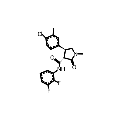 Cc1cc([C@H]2CN(C)C(=O)[C@@H]2C(=O)Nc2cccc(F)c2F)ccc1Cl